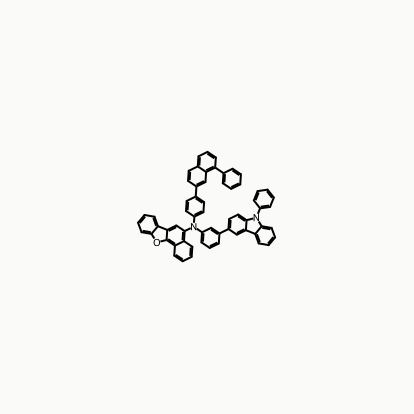 c1ccc(-c2cccc3ccc(-c4ccc(N(c5cccc(-c6ccc7c(c6)c6ccccc6n7-c6ccccc6)c5)c5cc6c7ccccc7oc6c6ccccc56)cc4)cc23)cc1